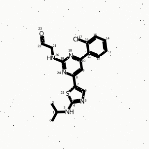 CC(C)Nc1ncc(-c2cc(-c3ccccc3Cl)nc(NCC=O)n2)s1